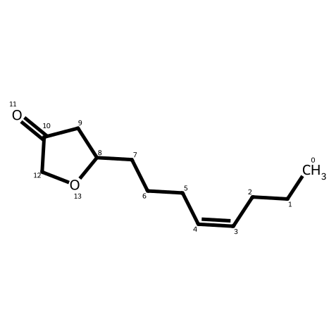 CCC/C=C\CCCC1CC(=O)CO1